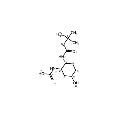 CC(C)(C)OC(=O)N[C@@H]1CCC(O)C[C@H]1NC(=O)O